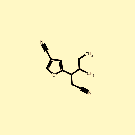 CCC(C)C(CC#N)c1cc(C#N)co1